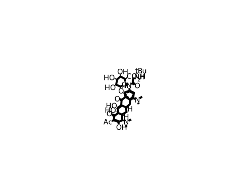 CC(=O)C1=C(O)[C@H](N(C)C)[C@@H]2C[C@@H]3Cc4c(N(C)C)cc(NC(=O)CNC(C)(C)C)c(O[C@@H]5O[C@H](C(=O)O)[C@@H](O)[C@H](O)[C@H]5O)c4C(=O)C3=C(O)[C@]2(O)C1=O